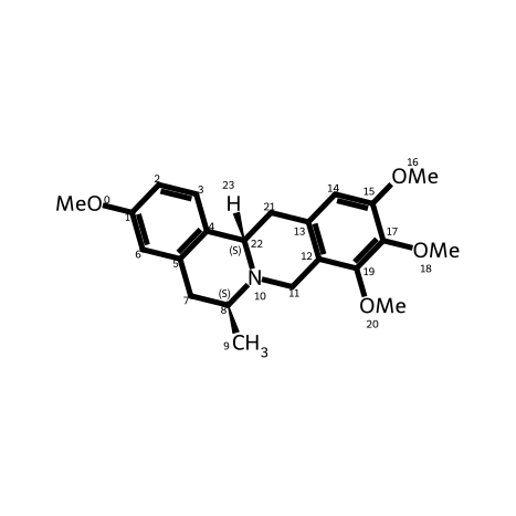 COc1ccc2c(c1)C[C@H](C)N1Cc3c(cc(OC)c(OC)c3OC)C[C@@H]21